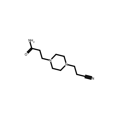 N#CCCN1CCN(CCC(N)=O)CC1